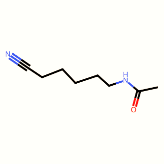 CC(=O)NCCCCCC#N